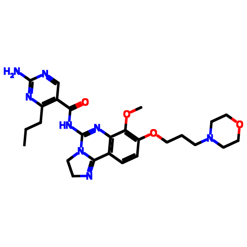 CCCc1nc(N)ncc1C(=O)NC1=Nc2c(ccc(OCCCN3CCOCC3)c2OC)C2=NCCN12